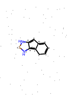 C1=CCC2=C3NSNC3=CC2=C1